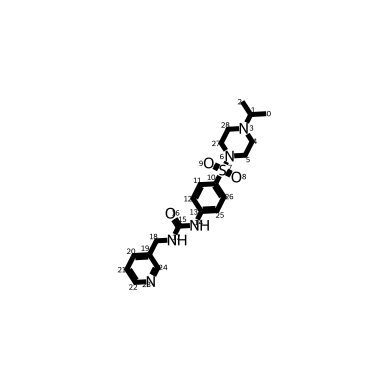 CC(C)N1CCN(S(=O)(=O)c2ccc(NC(=O)NCc3cccnc3)cc2)CC1